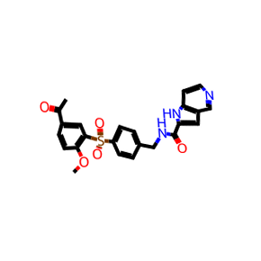 COc1ccc(C(C)=O)cc1S(=O)(=O)c1ccc(CNC(=O)c2cc3cnccc3[nH]2)cc1